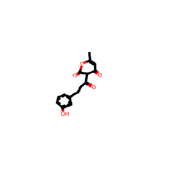 CC1=CC(=O)C(C(=O)CCc2cccc(O)c2)C(=O)O1